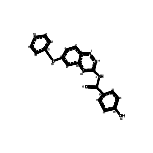 O=C(Nc1nnc2ccc(Oc3ccncc3)cc2n1)c1ccc(O)cc1